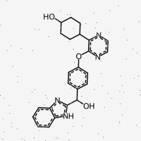 OC1CCC(c2nccnc2Oc2ccc(C(O)c3nc4ccccc4[nH]3)cc2)CC1